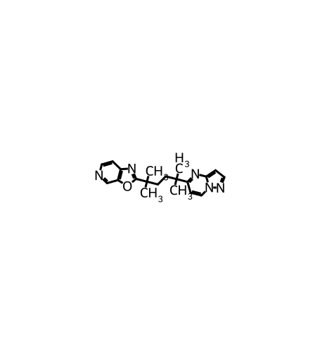 CC(C)(CCC(C)(C)c1nc2ccncc2o1)c1ccn2nccc2n1